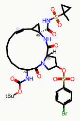 CC(C)(C)OC(=O)N[C@H]1CCCCC/C=C\C2C[C@@]2(C(=O)NS(=O)(=O)C2(C)CC2)NC(=O)[C@@H]2CC(OS(=O)(=O)c3ccc(Br)cc3)CN2C1=O